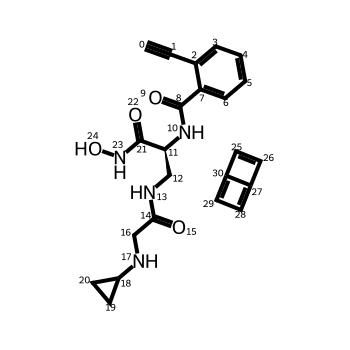 C#Cc1ccccc1C(=O)N[C@@H](CNC(=O)CNC1CC1)C(=O)NO.c1cc2ccc1-2